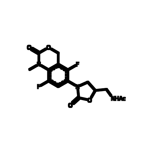 CC(=O)NCC1CN(c2cc(F)c3c(c2F)COC(=O)N3C)C(=O)O1